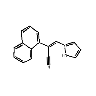 N#CC(=Cc1ccc[nH]1)c1cccc2ccccc12